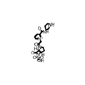 O=C(N[C@H]1CCNC1)c1ccc[n+](CC(=O)N2CC[C@@H]3[C@H]2C(=O)N3S(=O)(=O)O)c1